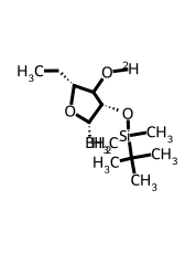 [2H]OC1[C@@H](CC)O[C@@H](B)[C@H]1O[Si](C)(C)C(C)(C)C